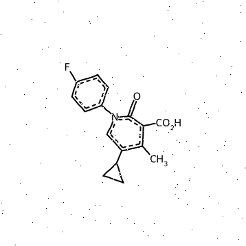 Cc1c(C2CC2)cn(-c2ccc(F)cc2)c(=O)c1C(=O)O